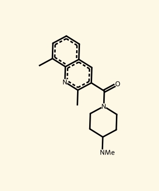 CNC1CCN(C(=O)c2cc3cccc(C)c3nc2C)CC1